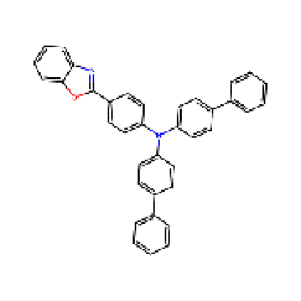 c1ccc(-c2ccc(N(c3ccc(-c4ccccc4)cc3)c3ccc(-c4nc5ccccc5o4)cc3)cc2)cc1